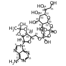 CC1(C)O[C@@H]2[C@H](O1)[C@H](n1cnc3c(N)ncnc31)O[C@@H]2COP(=O)(O)OP(=O)(O)O[C@@H]1OC([C@H](O)CO)[C@@H](O)C(O)C1O